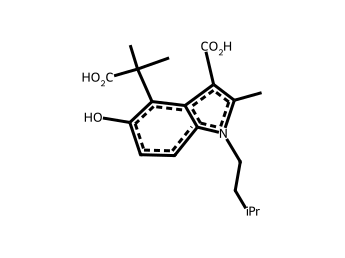 Cc1c(C(=O)O)c2c(C(C)(C)C(=O)O)c(O)ccc2n1CCC(C)C